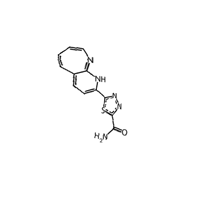 NC(=O)c1nnc(C2=CC=C3C=CC=CN=C3N2)s1